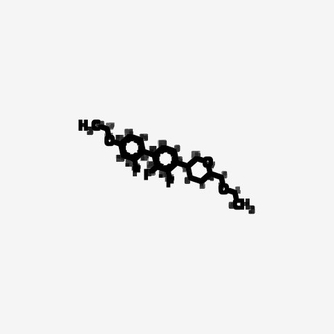 CCOCC1CCC(c2ccc(-c3ccc(OCC)cc3F)c(F)c2F)CO1